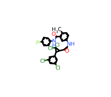 Cc1ccc(NC2OC2C2C(c3cc(Cl)cc(Cl)c3)C2(Cl)Cl)cc1C(=O)Nc1ccc(F)cc1